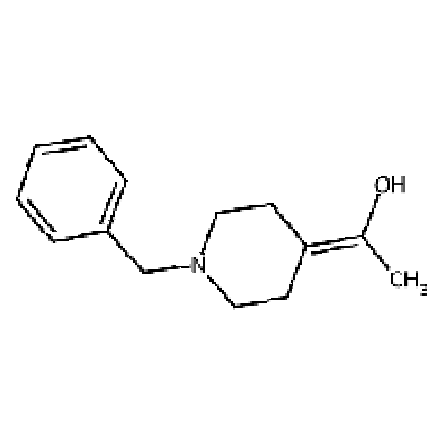 CC(O)=C1CCN(Cc2ccccc2)CC1